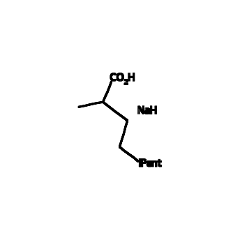 CCCC(C)CCC(C)C(=O)O.[NaH]